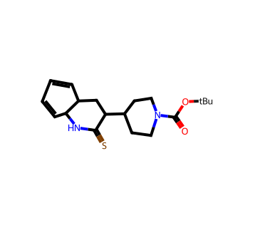 CC(C)(C)OC(=O)N1CCC(C2CC3C=CC=CC3NC2=S)CC1